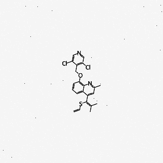 C=CSC(=C(C)C)c1cc(C)nc2c(OCc3c(Cl)cncc3Cl)cccc12